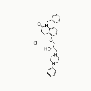 Cl.O=C1CCc2c(OCC(O)CN3CCN(c4ccccc4)CC3)cccc2N1Cc1ccccc1